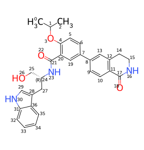 CC(C)Oc1ccc(-c2ccc3c(c2)CCNC3=O)cc1C(=O)N[C@@H](CO)Cc1c[nH]c2ccccc12